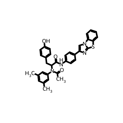 CC(=O)N(c1cc(C)cc(C)c1)C(Cc1ccc(O)cc1)C(=O)Nc1ccc(-c2cn3c(n2)sc2ccccc23)cc1